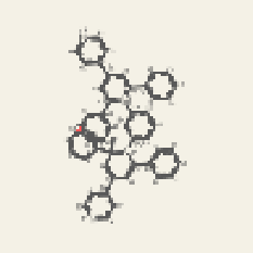 CC1(c2ccccc2)C=C(c2ccncc2)C=C(c2ccccc2)N1c1cccc(-[n+]2c(-c3ccccc3)cc(-c3ccncc3)cc2-c2ccccc2)c1